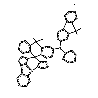 CC1(C)c2ccccc2-c2ccc(N(c3ccccc3)c3ccc4c(c3)C(C)(C)c3ccccc3C43c4ccccc4-n4c5ccccc5c5cccc3c54)cc21